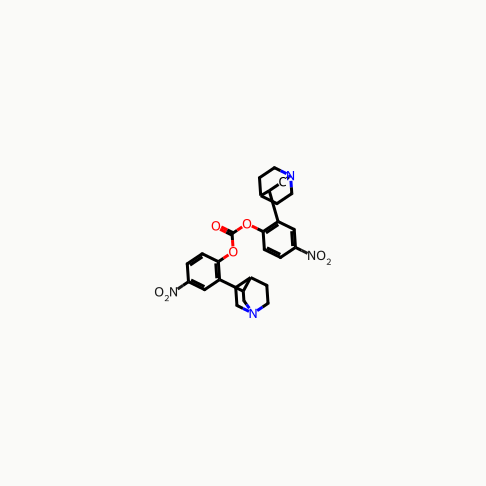 O=C(Oc1ccc([N+](=O)[O-])cc1C1CN2CCC1CC2)Oc1ccc([N+](=O)[O-])cc1C1CN2CCC1CC2